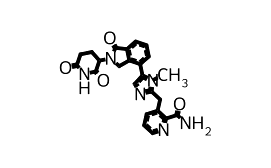 Cn1c(-c2cccc3c2CN(C2CCC(=O)NC2=O)C3=O)cnc1Cc1cccnc1C(N)=O